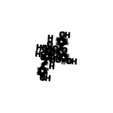 O=C(C=Cc1ccc(O)cc1)C(O)[C@H]1O[C@@H](Oc2c(-c3ccc(O)cc3)oc3cc(O)cc(O)c3c2=O)[C@H](O)[C@@H](O)[C@@H]1O